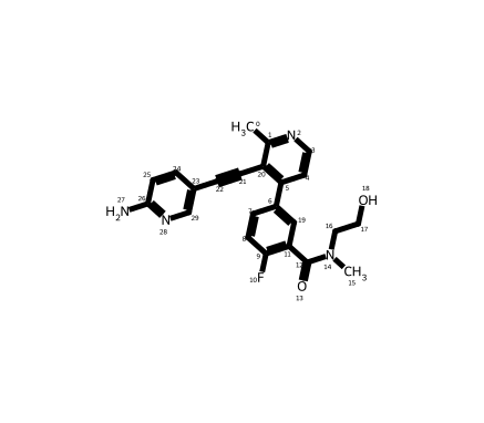 Cc1nccc(-c2ccc(F)c(C(=O)N(C)CCO)c2)c1C#Cc1ccc(N)nc1